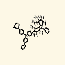 [2H]c1c([2H])c([2H])c2c(c1[2H])c1c([2H])c(-c3ccc(N(c4ccc(-c5ccccc5)cc4)c4ccc(-c5ccccc5)cc4)cc3)c([2H])c([2H])c1n2-c1ccccc1